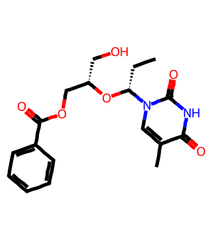 CC[C@@H](O[C@@H](CO)COC(=O)c1ccccc1)n1cc(C)c(=O)[nH]c1=O